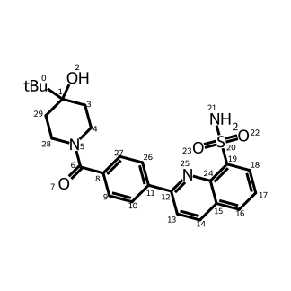 CC(C)(C)C1(O)CCN(C(=O)c2ccc(-c3ccc4cccc(S(N)(=O)=O)c4n3)cc2)CC1